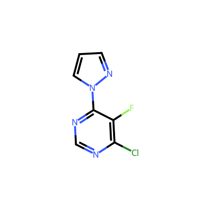 Fc1c(Cl)ncnc1-n1cccn1